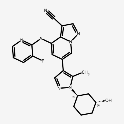 Cc1c(-c2cc(Sc3ncccc3F)c3c(C#N)cnn3c2)cnn1[C@@H]1CCC[C@@H](O)C1